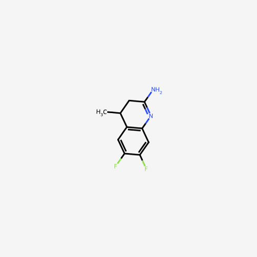 CC1CC(N)=Nc2cc(F)c(F)cc21